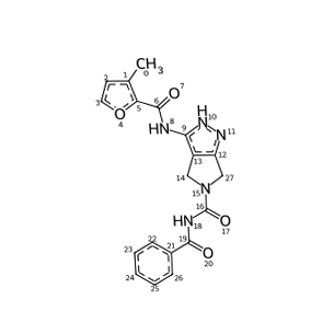 Cc1ccoc1C(=O)Nc1[nH]nc2c1CN(C(=O)NC(=O)c1ccccc1)C2